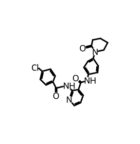 O=C(Nc1ncccc1C(=O)Nc1ccc(N2CCCCC2=O)cc1)c1ccc(Cl)cc1